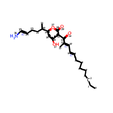 CCCCCCCC/C=C/C=C(\C)C(=O)c1c(O)cc(C(C)CC/C=C/N)oc1=O